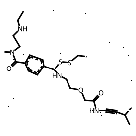 CCNCCN(C)C(=O)c1ccc(C(NCCOCC(=O)NC#CC(C)C)SSCC)cc1